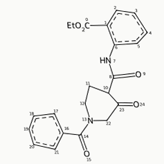 CCOC(=O)c1ccccc1NC(=O)C1CCN(C(=O)c2ccccc2)CC1=O